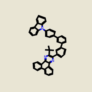 CC(C)(C)c1nc2c3ccccc3c3ccccc3c2nc1-c1cccc(-c2cccc(-c3ccc(-n4c5ccccc5c5ccccc54)cc3)c2)c1